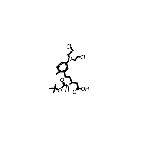 Cc1ccc(N(CCCl)CCCl)cc1CCC(CC(=O)O)NC(=O)OC(C)(C)C